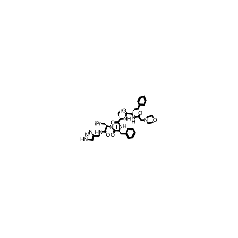 CC(C)C[C@H](NC(=O)[C@H](Cc1ccccc1)NC(=O)[C@H](CC(C)C)NC(=O)[C@H](CCc1ccccc1)NC(=O)CN1CCOCC1)C(=O)NCc1c[nH]nn1